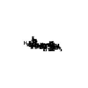 Cn1cnnc1-c1cc(F)ccc1-c1cccc(-c2nc3cc(CN[C@@H]4CCCC4O[Si](C)(C)C(C)(C)C)cc(Cl)c3o2)c1